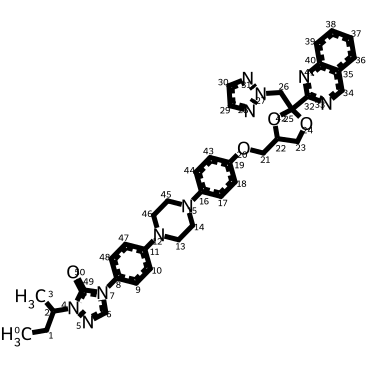 CCC(C)n1ncn(-c2ccc(N3CCN(c4ccc(OCC5COC(Cn6nccn6)(c6ncc7ccccc7n6)O5)cc4)CC3)cc2)c1=O